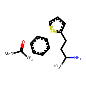 COC(=O)C(F)(F)F.NC(CCc1cccs1)C(=O)O.c1ccccc1